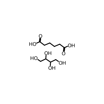 O=C(O)CCCCC(=O)O.OCC(O)C(O)CO